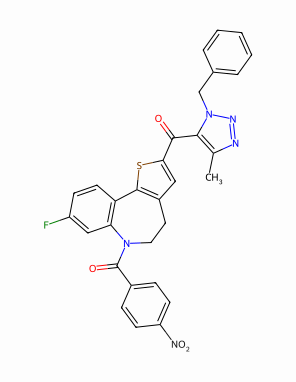 Cc1nnn(Cc2ccccc2)c1C(=O)c1cc2c(s1)-c1ccc(F)cc1N(C(=O)c1ccc([N+](=O)[O-])cc1)CC2